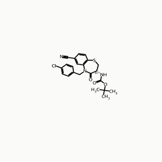 CC(C)(C)OC(=O)N[C@H]1CSc2ccc(C#N)cc2N(Cc2ccc(Cl)cc2)C1=O